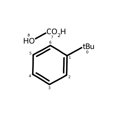 CC(C)(C)c1ccccc1.O=C(O)O